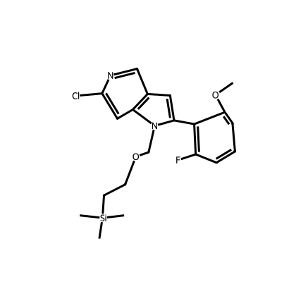 COc1cccc(F)c1-c1cc2cnc(Cl)cc2n1COCC[Si](C)(C)C